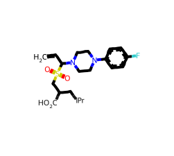 C=CC(N1CCN(c2ccc(F)cc2)CC1)S(=O)(=O)CC(CC(C)C)C(=O)O